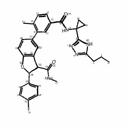 CCCc1nnc(C2(NC(=O)c3ccc(C)c(-c4ccc5c(c4)C(C(=O)NC)C(c4ccc(F)cc4)O5)c3)CC2)[nH]1